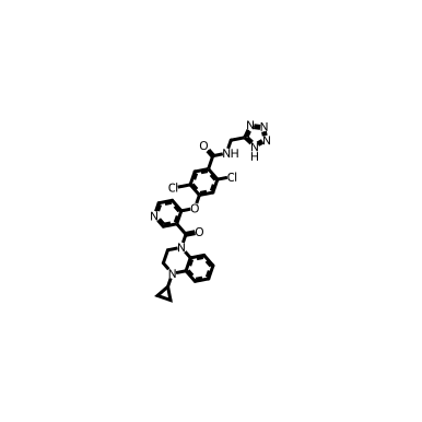 O=C(NCc1nnn[nH]1)c1cc(Cl)c(Oc2ccncc2C(=O)N2CCN(C3CC3)c3ccccc32)cc1Cl